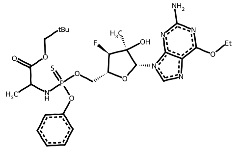 CCOc1nc(N)nc2c1ncn2[C@@H]1O[C@H](COP(=S)(NC(C)C(=O)OCC(C)(C)C)Oc2ccccc2)[C@@H](F)[C@@]1(C)O